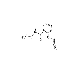 CCSSNC(=O)c1ccccc1ON=[N+]=[N-]